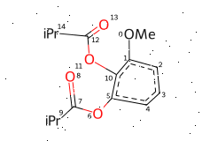 COc1cccc(OC(=O)C(C)C)c1OC(=O)C(C)C